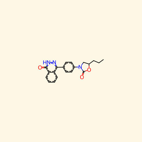 CCCC1CN(c2ccc(-c3n[nH]c(=O)c4ccccc34)cc2)C(=O)O1